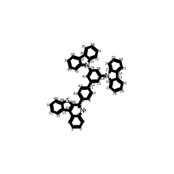 c1ccc2c(c1)nc(-c1ccc(-c3cc(-n4c5ccccc5c5ccccc54)cc(-n4c5ccccc5c5ccccc54)c3)cc1)c1sc3ccccc3c12